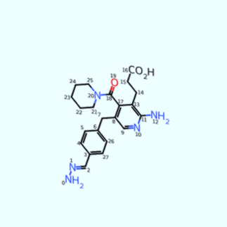 NN=Cc1ccc(Cc2cnc(N)c(CCC(=O)O)c2C(=O)N2CCCCC2)cc1